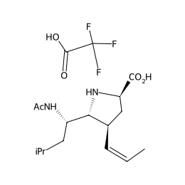 C/C=C\[C@@H]1C[C@H](C(=O)O)N[C@H]1[C@H](CC(C)C)NC(C)=O.O=C(O)C(F)(F)F